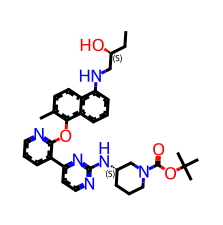 CC[C@H](O)CNc1cccc2c(Oc3ncccc3-c3ccnc(N[C@H]4CCCN(C(=O)OC(C)(C)C)C4)n3)c(C)ccc12